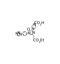 CCOC(=O)CCc1cn(-c2ccc(-n3ccnn3)cc2)c(=O)c(N2CCN(C(=O)O)CC2)n1